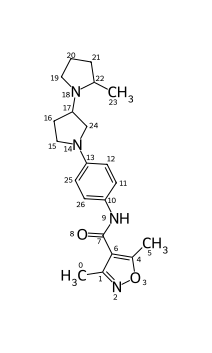 Cc1noc(C)c1C(=O)Nc1ccc(N2CCC(N3CCCC3C)C2)cc1